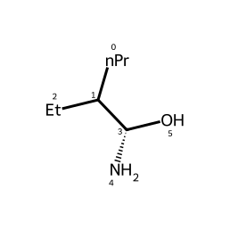 CCCC(CC)[C@@H](N)O